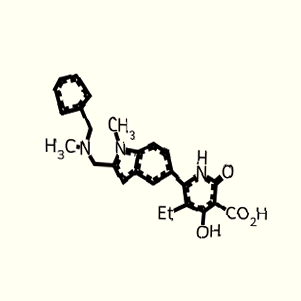 CCc1c(-c2ccc3c(c2)cc(CN(C)Cc2ccccc2)n3C)[nH]c(=O)c(C(=O)O)c1O